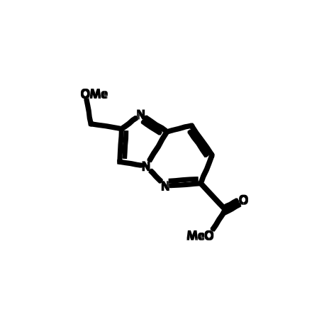 COCc1cn2nc(C(=O)OC)ccc2n1